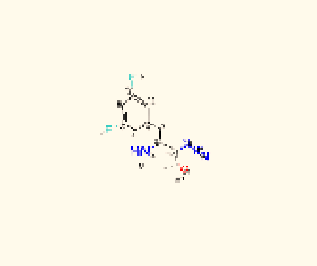 CN[C@@H](Cc1cc(F)cc(F)c1)C(COC)N=[N+]=[N-]